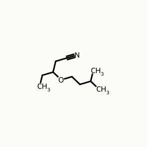 CCC(CC#N)OCCC(C)C